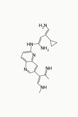 CN/C=C(\C(C)=N)c1cnc2ccc(N/C(N)=C/C(=C\N)C3CC3)nc2c1